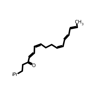 C/C=C/C=C/C=C\CC/C=C\C=C\C(=O)CCC(C)C